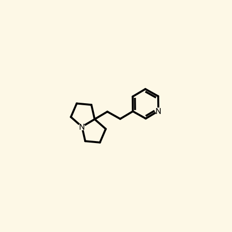 c1cncc(CCC23CCCN2CCC3)c1